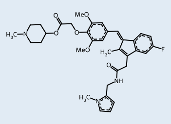 COc1cc(C=C2C(C)=C(CC(=O)NCc3cccn3C)c3cc(F)ccc32)cc(OC)c1OCC(=O)OC1CCN(C)CC1